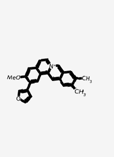 COc1cc2cc[n+]3cc4cc(C)c(C)cc4cc3c2cc1-c1ccoc1